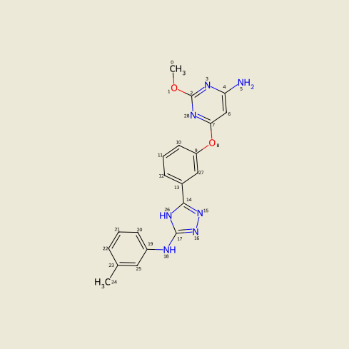 COc1nc(N)cc(Oc2cccc(-c3nnc(Nc4cccc(C)c4)[nH]3)c2)n1